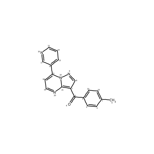 Cc1ccc(C(=O)c2cnn3c(-c4cccnc4)ccnc23)cc1